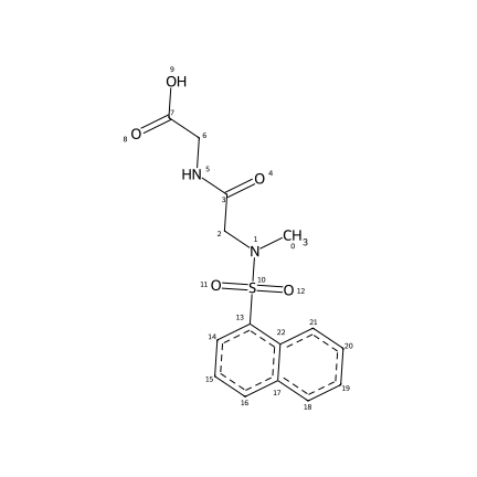 CN(CC(=O)NCC(=O)O)S(=O)(=O)c1cccc2ccccc12